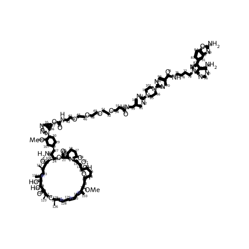 CO[C@H]1C[C@@H]2CC[C@@H](C)[C@@](O)(O2)C(=O)C(=O)N2CCCC[C@H]2C(=O)O[C@H]([C@H](N)C[C@@H]2CC[C@H](n3nnc4c3C4OC(=O)NCCOCCOCCOCCOCCC(=O)NCc3cnc(N4CCN(c5ncc(C(=O)NCCCCn6nc(-c7ccc8oc(N)nc8c7)c7c(N)ncnc76)cn5)CC4)nc3)[C@H](OC)C2)CC(=O)[C@H](C)/C=C(\C)[C@@H](O)[C@@H](O)C(=O)[C@H](C)C[C@H](C)/C=C/C=C/C=C/1C